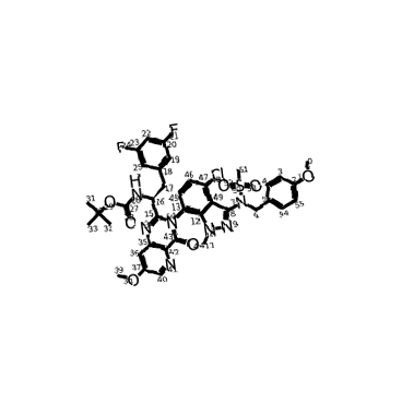 COc1ccc(CN(c2nn(C)c3c(-n4c([C@H](Cc5cc(F)cc(F)c5)NC(=O)OC(C)(C)C)nc5cc(OC)cnc5c4=O)ccc(Cl)c23)S(C)(=O)=O)cc1